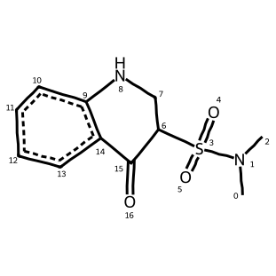 CN(C)S(=O)(=O)C1CNc2ccccc2C1=O